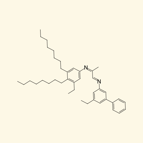 CCCCCCCCc1cc(N=C(C)C=Nc2cc(CC)cc(-c3ccccc3)c2)cc(CC)c1CCCCCCCC